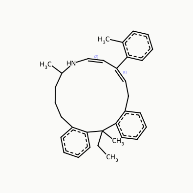 CCC1(C)c2ccccc2C/C=C(c2ccccc2C)\C=C/NC(C)CCCc2ccccc21